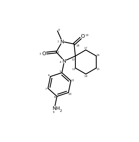 CN1C(=O)N(c2ccc(N)cc2)C2(CCCCC2)C1=O